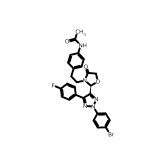 CC(=O)Nc1ccc(CCN2C(=O)CO[C@H]2c2nn(-c3ccc(Br)cc3)nc2-c2ccc(F)cc2)cc1